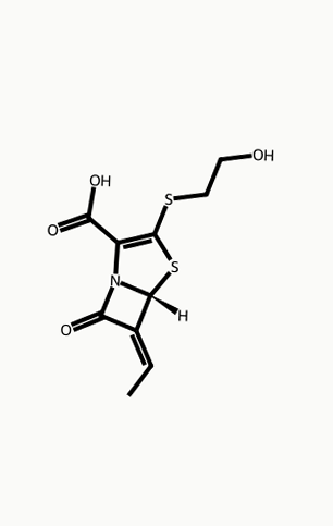 CC=C1C(=O)N2C(C(=O)O)=C(SCCO)S[C@H]12